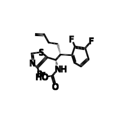 C=CCC[C@H](c1cccc(F)c1F)[C@H](NC(=O)O)c1scnc1Br